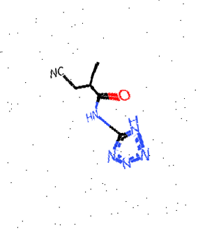 CC(CC#N)C(=O)Nc1nnn[nH]1